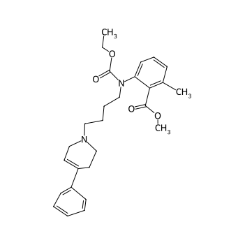 CCOC(=O)N(CCCCN1CC=C(c2ccccc2)CC1)c1cccc(C)c1C(=O)OC